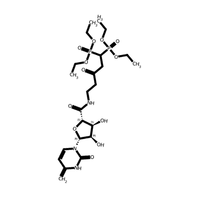 C=C1C=CN([C@@H]2O[C@H](C(=O)NCCC(=O)CC(P(=O)(OCC)OCC)P(=O)(OCC)OCC)[C@@H](O)[C@H]2O)C(=O)N1